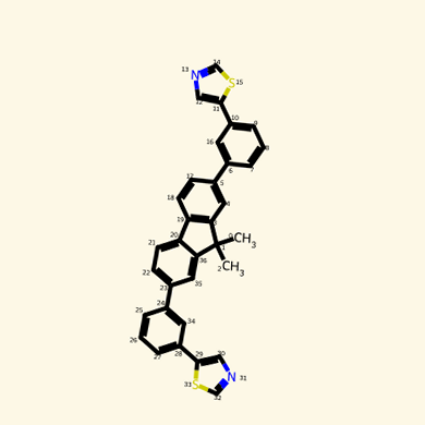 CC1(C)c2cc(-c3cccc(-c4cncs4)c3)ccc2-c2ccc(-c3cccc(-c4cncs4)c3)cc21